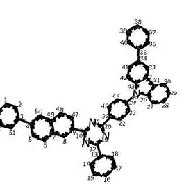 c1ccc(-c2ccc3cc(-c4nc(-c5ccccc5)nc(-c5ccc(-n6c7ccccc7c7cc(-c8ccccc8)ccc76)cc5)n4)ccc3c2)cc1